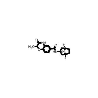 CC1Oc2ccc(C(=O)N[C@@H]3C[C@H]4CC[C@@H](C3)N4)cc2NC1=O